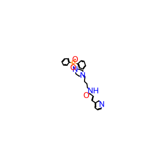 O=C(C=Cc1cccnc1)NCCCCN1CCN(OP(=O)(c2ccccc2)c2ccccc2)CC1